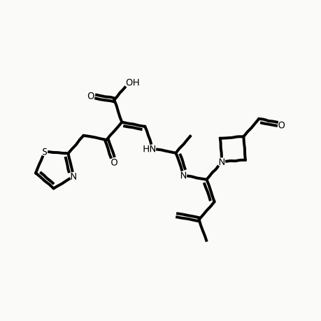 C=C(C)/C=C(\N=C(/C)N/C=C(/C(=O)O)C(=O)Cc1nccs1)N1CC(C=O)C1